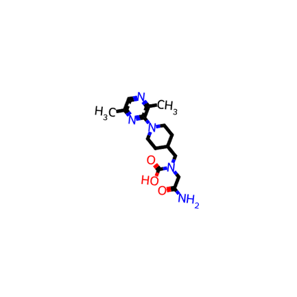 Cc1cnc(C)c(N2CCC(CN(CC(N)=O)C(=O)O)CC2)n1